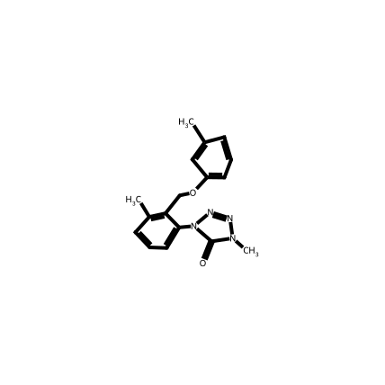 Cc1cccc(OCc2c(C)cccc2-n2nnn(C)c2=O)c1